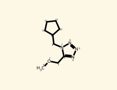 COCc1nnnn1CC1CCCC1